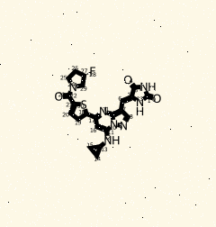 O=C1NC(=O)/C(=C/c2cnn3c(NC4CC4)cc(C4CC=C(C(=O)N5CC[C@H](F)C5)S4)nc23)N1